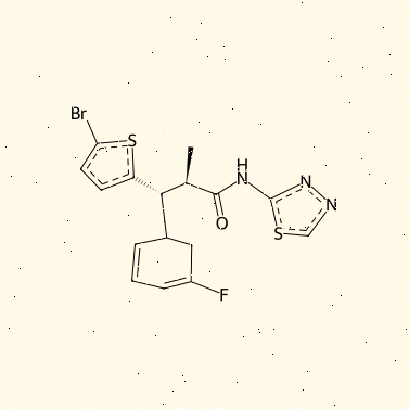 C[C@@H](C(=O)Nc1nncs1)[C@@H](c1ccc(Br)s1)C1C=CC=C(F)C1